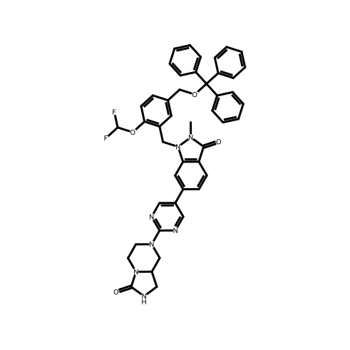 Cn1c(=O)c2ccc(-c3cnc(N4CCN5C(=O)NCC5C4)nc3)cc2n1Cc1cc(COC(c2ccccc2)(c2ccccc2)c2ccccc2)ccc1OC(F)F